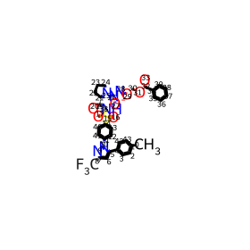 Cc1ccc(-c2cc(C(F)(F)F)nn2-c2ccc(S(=O)(=O)NC(=O)[C@@H]3CCCN3/[N+]([O-])=N/OCOC(=O)c3ccccc3)cc2)cc1